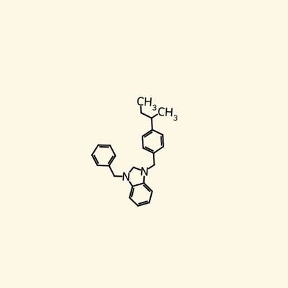 CCC(C)c1ccc(CN2CN(Cc3ccccc3)c3ccccc32)cc1